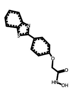 O=C(COc1ccc(-c2nc3ccccc3s2)cc1)NO